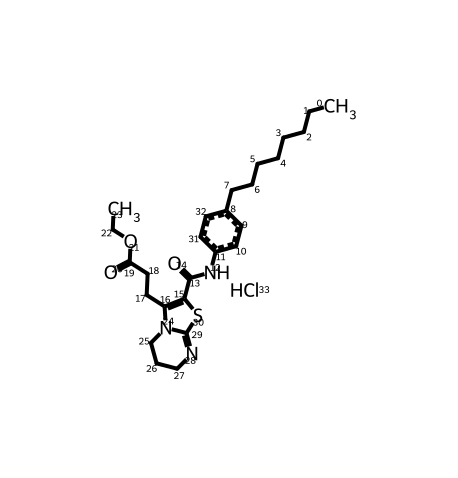 CCCCCCCCc1ccc(NC(=O)C2=C(CCC(=O)OCC)N3CCCN=C3S2)cc1.Cl